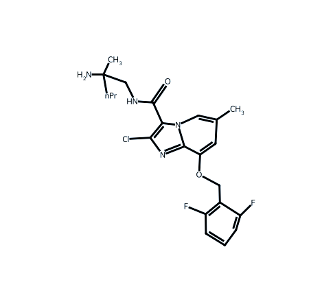 CCCC(C)(N)CNC(=O)c1c(Cl)nc2c(OCc3c(F)cccc3F)cc(C)cn12